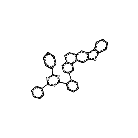 c1ccc(-c2nc(-c3ccccc3)nc(-c3ccccc3-c3ccc4ccc5cc6c(cc5c4c3)oc3ccccc36)n2)cc1